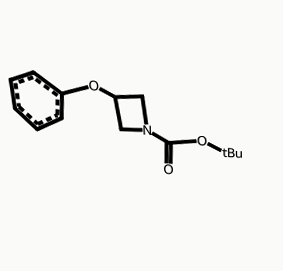 CC(C)(C)OC(=O)N1CC(Oc2ccccc2)C1